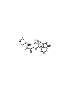 CN(NC1CCOCC1)C(=O)[C@@H]1C=C2c3cccc4[nH]cc(c34)C[C@H]2NC1